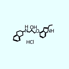 CCc1cc2c(OCC(O)CNC3CCc4ccccc4C3)cccc2[nH]1.Cl